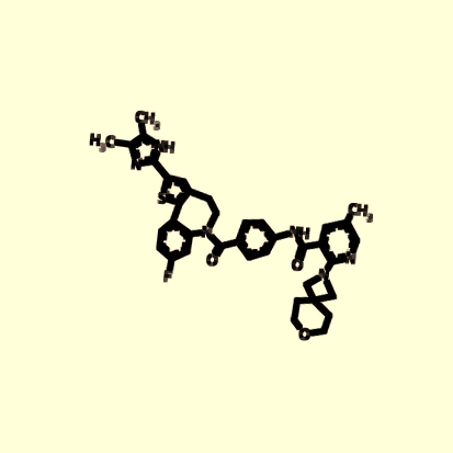 Cc1cnc(N2CC3(CCOCC3)C2)c(C(=O)Nc2ccc(C(=O)N3CCc4cc(-c5nc(C)c(C)[nH]5)sc4-c4ccc(F)cc43)cc2)c1